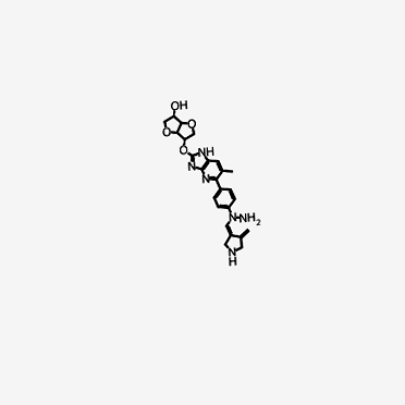 C=C1CNC/C1=C/N(N)c1ccc(-c2nc3nc(O[C@@H]4COC5C4OC[C@H]5O)[nH]c3cc2C)cc1